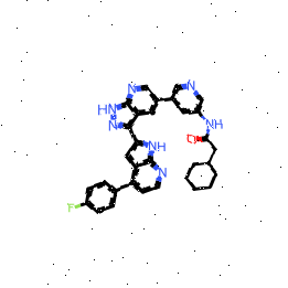 O=C(CC1CCCCC1)Nc1cncc(-c2cnc3[nH]nc(-c4cc5c(-c6ccc(F)cc6)ccnc5[nH]4)c3c2)c1